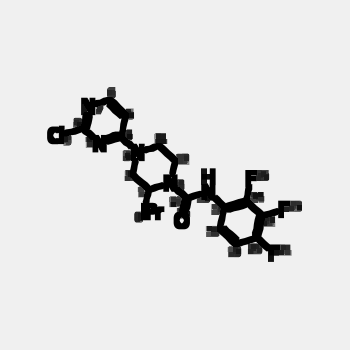 CC(C)C1CN(c2ccnc(Cl)n2)CCN1C(=O)Nc1ccc(F)c(F)c1F